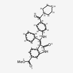 COC(=O)c1ccc2c(c1)NC(=O)/C2=C(\Nc1ccc(C(=O)N2CCSCC2)cc1)c1ccccc1